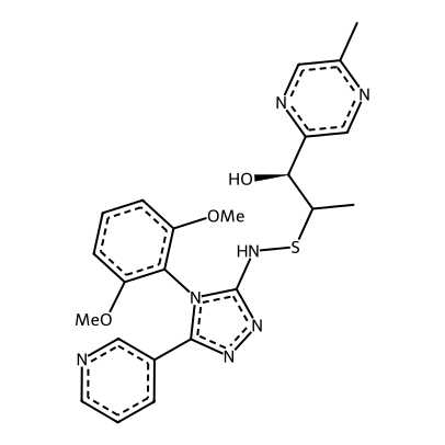 COc1cccc(OC)c1-n1c(NSC(C)[C@@H](O)c2cnc(C)cn2)nnc1-c1cccnc1